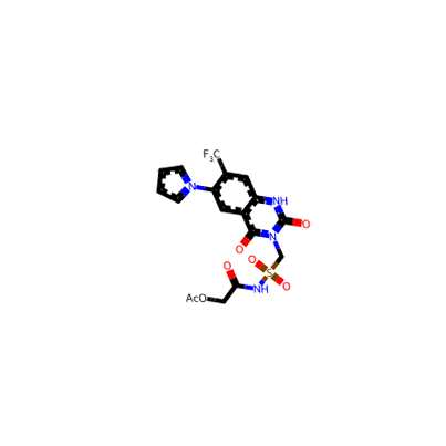 CC(=O)OCC(=O)NS(=O)(=O)Cn1c(=O)[nH]c2cc(C(F)(F)F)c(-n3cccc3)cc2c1=O